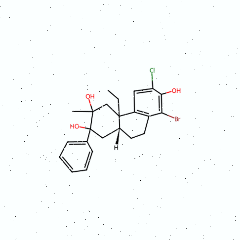 CCC12CC(C)(O)C(O)(c3ccccc3)C[C@H]1CCc1c2cc(Cl)c(O)c1Br